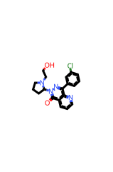 O=c1c2cccnc2c(-c2cccc(Cl)c2)nn1C1CCCN1CCO